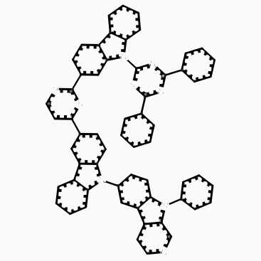 c1ccc(-c2nc(-c3ccccc3)nc(-n3c4ccccc4c4ccc(-c5nccc(-c6ccc7c(c6)c6ccccc6n7-c6ccc7c(c6)c6ccncc6n7-c6ccccc6)n5)cc43)n2)cc1